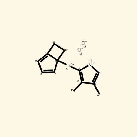 Cc1c[nH][c]([Ti+2][C]23C=CC=C2CC3)c1C.[Cl-].[Cl-]